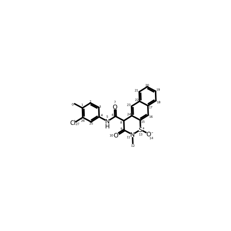 Cc1ccc(NC(=O)C2C(=O)N(C)[S+]([O-])c3cc4ccccc4cc32)cc1Cl